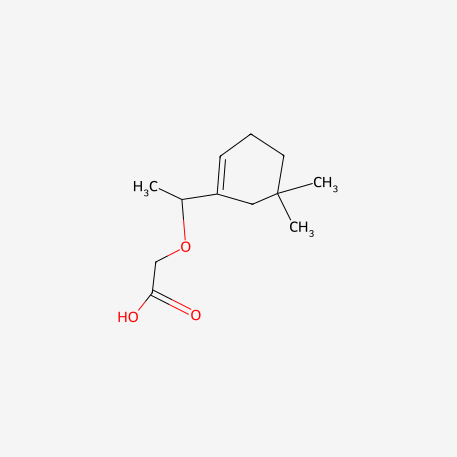 CC(OCC(=O)O)C1=CCCC(C)(C)C1